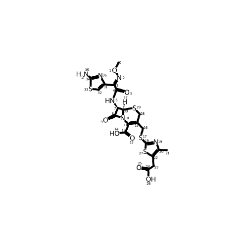 CO/N=C(/C(=O)N[C@@H]1C(=O)N2C(C(=O)O)=C(CSc3nc(C)c(CC(=O)O)s3)CS[C@H]12)c1csc(N)n1